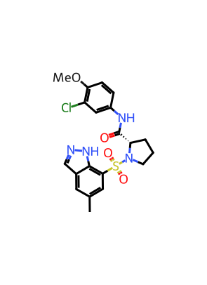 COc1ccc(NC(=O)[C@@H]2CCCN2S(=O)(=O)c2cc(C)cc3cn[nH]c23)cc1Cl